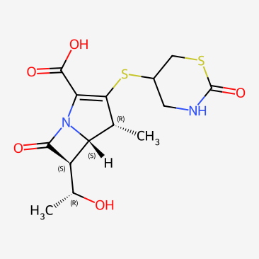 C[C@@H](O)[C@H]1C(=O)N2C(C(=O)O)=C(SC3CNC(=O)SC3)[C@H](C)[C@H]12